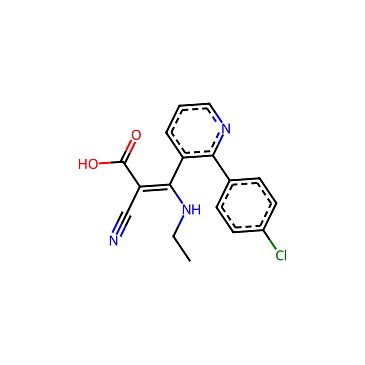 CCNC(=C(C#N)C(=O)O)c1cccnc1-c1ccc(Cl)cc1